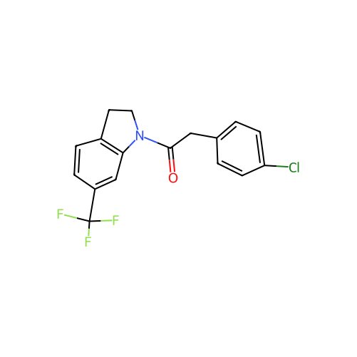 O=C(Cc1ccc(Cl)cc1)N1CCc2ccc(C(F)(F)F)cc21